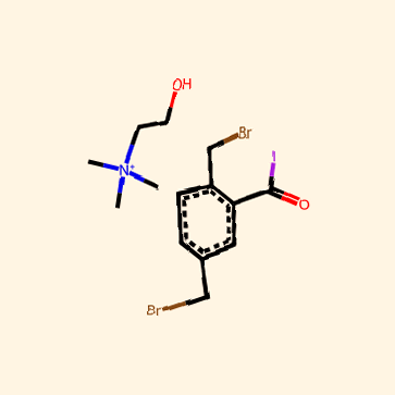 C[N+](C)(C)CCO.O=C(I)c1cc(CBr)ccc1CBr